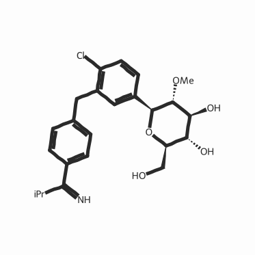 CO[C@@H]1[C@@H](O)[C@H](O)[C@@H](CO)O[C@H]1c1ccc(Cl)c(Cc2ccc(C(=N)C(C)C)cc2)c1